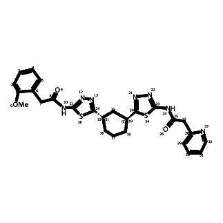 COc1ccccc1CC(=O)Nc1nnc([C@H]2CCC[C@H](c3nnc(NC(=O)Cc4ccccn4)s3)C2)s1